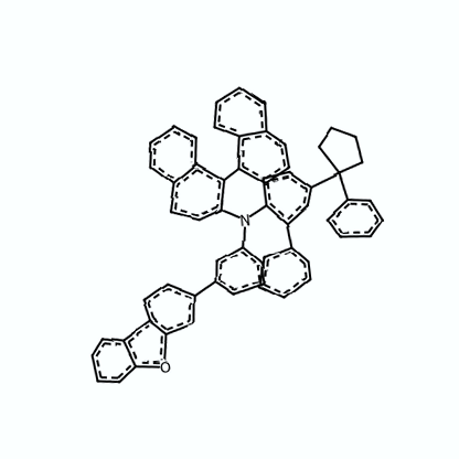 c1ccc(-c2cc(C3(c4ccccc4)CCCC3)ccc2N(c2cccc(-c3ccc4c(c3)oc3ccccc34)c2)c2ccc3ccccc3c2-c2cccc3ccccc23)cc1